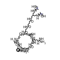 C/C(=N/O)C(C)(C)NCCC(CCNC(=O)CCCC(=O)NCCCC[C@@H]1NC(=O)CSCC(C(N)=O)NC(=O)[C@H](Cc2ccccc2)NC(=O)[C@H](CS)NC(=O)[C@H](CC(=O)O)NC(=O)CNC(=O)[C@H](CCCNC(=N)N)NC(=O)[C@H](CS)NC1=O)CCNC(C)(C)/C(C)=N\O